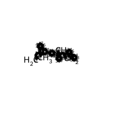 C=C/C=C\C1=C(C)C2=CC(c3ccc(-n4c(C)c(/C=C(\C=C)c5cccc6c7c(sc56)C=CCC7)c5ccccc54)cc3)=CC3c4ccccc4N1C23